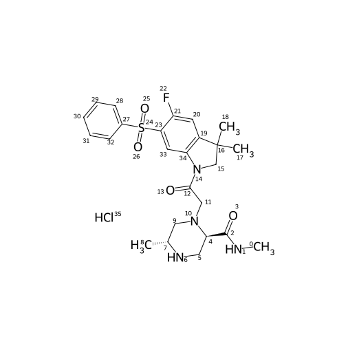 CNC(=O)[C@H]1CN[C@H](C)CN1CC(=O)N1CC(C)(C)c2cc(F)c(S(=O)(=O)c3ccccc3)cc21.Cl